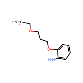 CCOC(=O)COCCCOc1ccccc1N